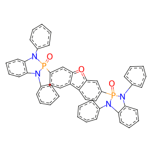 O=P1(c2ccc3c(c2)oc2cc(P4(=O)N(c5ccccc5)c5ccccc5N4c4ccccc4)ccc23)N(c2ccccc2)c2ccccc2N1c1ccccc1